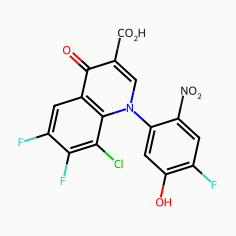 O=C(O)c1cn(-c2cc(O)c(F)cc2[N+](=O)[O-])c2c(Cl)c(F)c(F)cc2c1=O